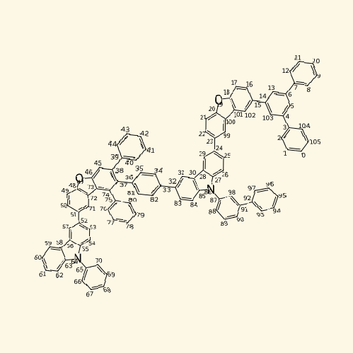 c1ccc(-c2cc(-c3ccccc3)cc(-c3ccc4oc5ccc(-c6ccc7c(c6)c6cc(-c8ccc(-c9c(-c%10ccccc%10)cc%10oc%11ccc(-c%12ccc%13c(c%12)c%12ccccc%12n%13-c%12ccccc%12)cc%11c%10c9-c9ccccc9)cc8)ccc6n7-c6cccc(-c7ccccc7)c6)cc5c4c3)c2)cc1